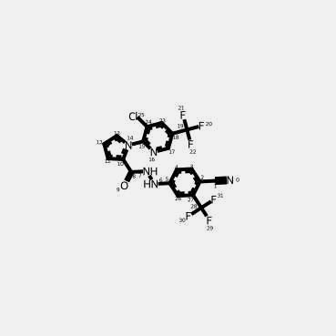 N#Cc1ccc(NNC(=O)c2cccn2-c2ncc(C(F)(F)F)cc2Cl)cc1C(F)(F)F